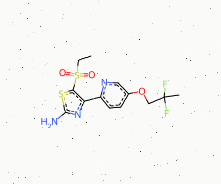 CCS(=O)(=O)c1sc(N)nc1-c1ccc(OCC(C)(F)F)cn1